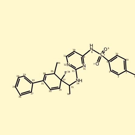 Cc1ccc(S(=O)(=O)Nc2ccnc(NC(C)C3(F)C=CC(c4ccccc4)=CC3C)n2)cc1